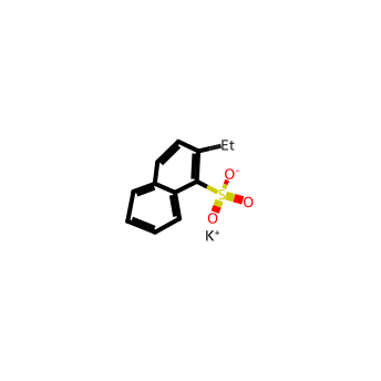 CCc1ccc2ccccc2c1S(=O)(=O)[O-].[K+]